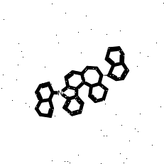 C1=CC(N2c3ccccc3C3C4C(C=CC32)CC[C@H](c2cccc3ccccc23)C2CCC=CC42)C2C=CCCC2=C1